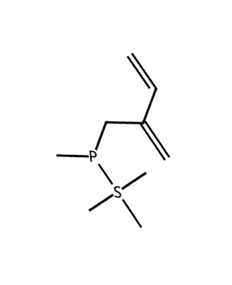 C=CC(=C)CP(C)S(C)(C)C